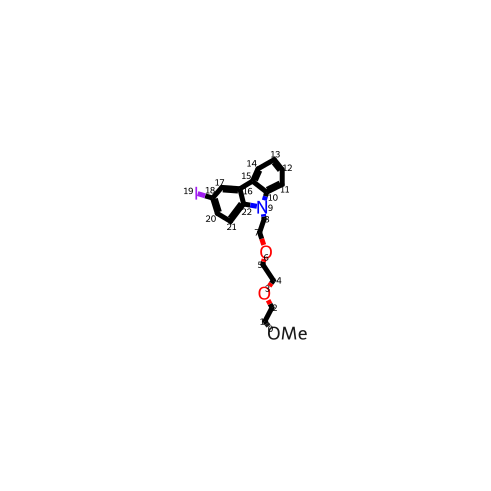 COCCOCCOCCn1c2ccccc2c2cc(I)ccc21